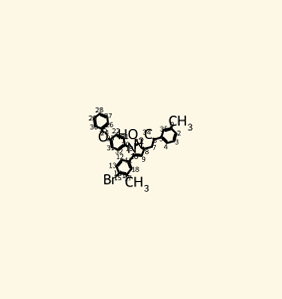 Cc1cccc(C(Cc2cc(-c3ccc(Br)c(C)c3)n(-c3ccc(Oc4ccccc4)cc3)n2)C(=O)O)c1